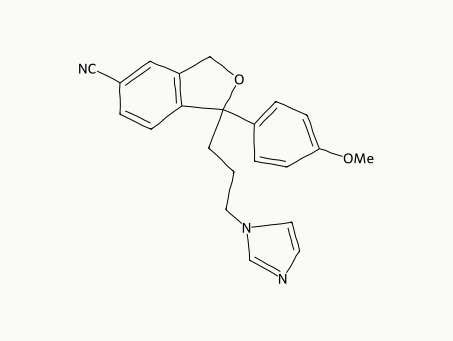 COc1ccc(C2(CCCn3ccnc3)OCc3cc(C#N)ccc32)cc1